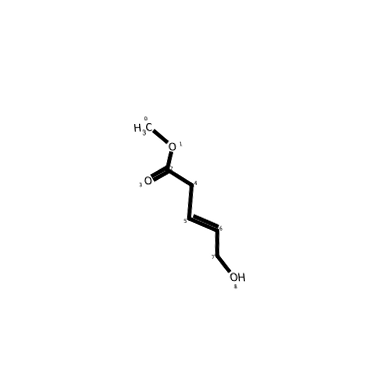 COC(=O)CC=CCO